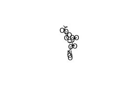 C=C(C)C(=O)OCC(=O)OC1C2CC3C1OC(=O)C3C2C(=O)OCCN1CCOCC1